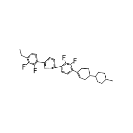 CCc1ccc(-c2ccc(-c3ccc(C4=CCC(C5CCC(C)CC5)CC4)c(F)c3F)cc2)c(F)c1F